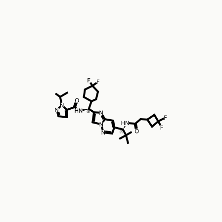 CC(C)n1nccc1C(=O)N[C@H](c1cn2ncc([C@H](NC(=O)CC3CC(F)(F)C3)C(C)(C)C)cc2n1)C1CCC(F)(F)CC1